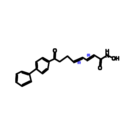 O=C(/C=C/C=C/CCC(=O)c1ccc(-c2ccccc2)cc1)NO